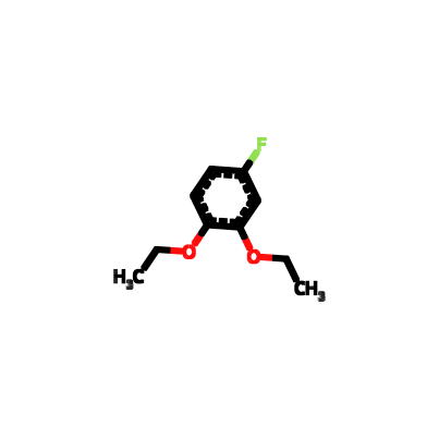 CCOc1ccc(F)cc1OCC